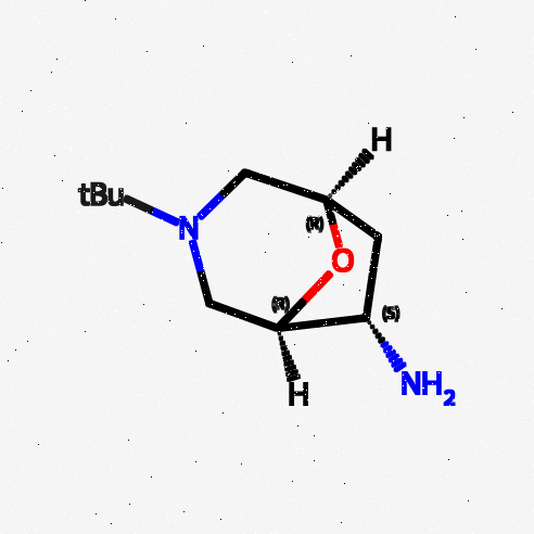 CC(C)(C)N1C[C@H]2C[C@H](N)[C@@H](C1)O2